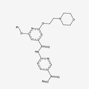 COC(=O)c1ccc(NC(=O)c2cc(OCCN3CCOCC3)nc(OC(C)C)c2)nc1